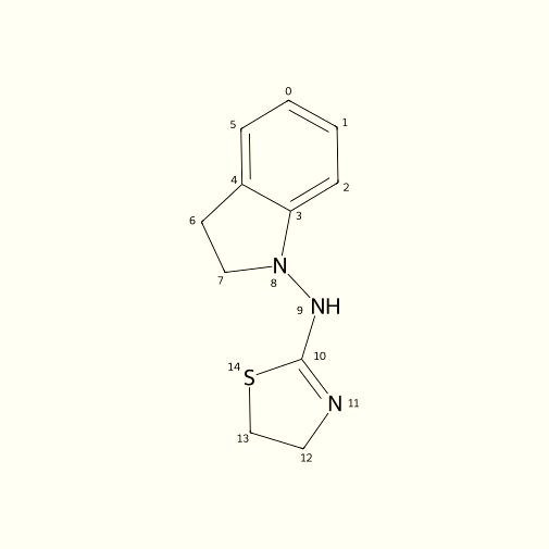 c1ccc2c(c1)CCN2NC1=NCCS1